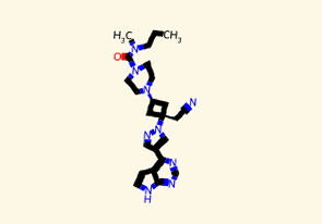 CCCN(C)C(=O)N1CCN([C@H]2C[C@](CC#N)(n3cc(-c4ncnc5[nH]ccc45)cn3)C2)CC1